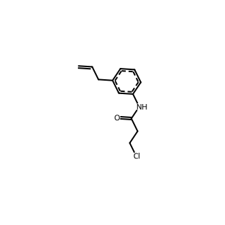 C=CCc1cccc(NC(=O)CCCl)c1